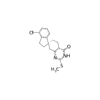 CSc1nc2c(c(=O)[nH]1)CC[C@@]1(CCc3c(Cl)cccc31)C2